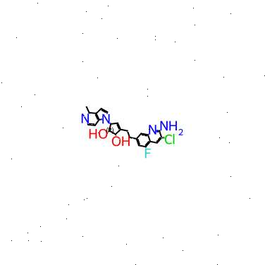 Cc1nccc2c1ccn2C1C=C(CCc2cc(F)c3cc(Cl)c(N)nc3c2)C(O)[C@@H]1O